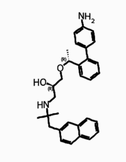 C[C@@H](OC[C@H](O)CNC(C)(C)Cc1ccc2ccccc2c1)c1ccccc1-c1ccc(N)cc1